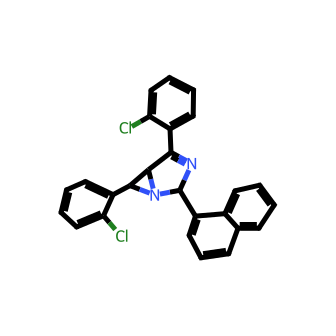 Clc1ccccc1C1=NC(c2cccc3ccccc23)N2C1C2c1ccccc1Cl